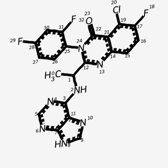 CC(Nc1ncnc2[nH]cnc12)c1nc2ccc(F)c(Cl)c2c(=O)n1-c1ccc(F)cc1F